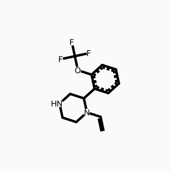 C=CN1CCNCC1c1ccccc1OC(F)(F)F